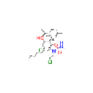 C=C(C)[C@@H]1CCC(C)=C[C@H]1c1c(O)cc(CCCCC)cc1OP(=O)(NC)N(CCCl)CCCl